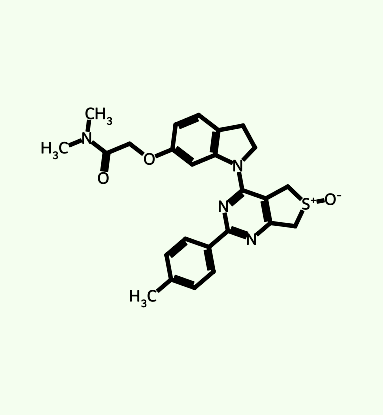 Cc1ccc(-c2nc3c(c(N4CCc5ccc(OCC(=O)N(C)C)cc54)n2)C[S+]([O-])C3)cc1